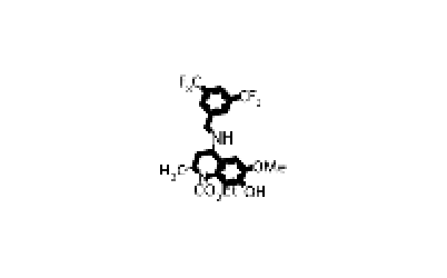 CCOC(=O)N1c2cc(O)c(OC)cc2[C@@H](NCc2cc(C(F)(F)F)cc(C(F)(F)F)c2)C[C@H]1C